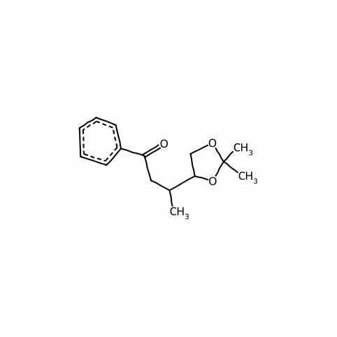 CC(CC(=O)c1ccccc1)C1COC(C)(C)O1